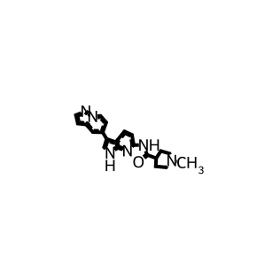 CN1CCC(C(=O)Nc2ccc3c(-c4ccn5nccc5c4)c[nH]c3n2)CC1